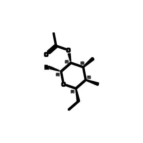 CC[C@H]1O[C@H](Br)[C@H](OC(C)=O)[C@@H](C)[C@H]1C